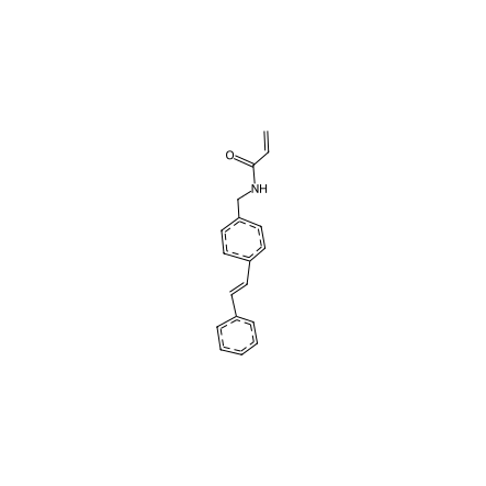 C=CC(=O)NCc1ccc(C=Cc2ccccc2)cc1